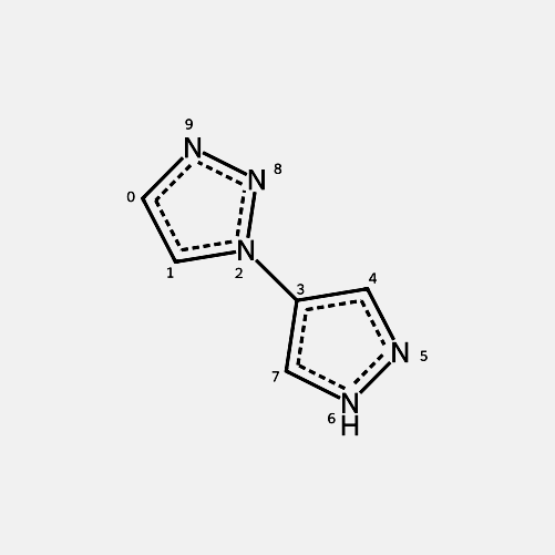 c1cn(-c2cn[nH]c2)nn1